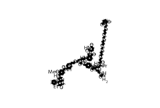 CC[C@@H]1C(=O)N(C)c2ncc(Nc3ccc(C(=O)NC4CCN(CCOCCN(CC(=O)Nc5cccc6c5CN(C5CCC(=O)NC5=O)C6=O)C(=O)OCc5ccc(NC(=O)[C@H](CCCNC(N)=O)NC(=O)[C@@H](NC(=O)CCOCCOCCOCCOCCOCCOCCN6C(=O)C=CC6=O)C(C)C)cc5)CC4)cc3OC)nc2N1C1CCCC1